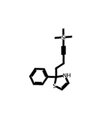 C[Si](C)(C)C#CCCC1(c2ccccc2)NC=CS1